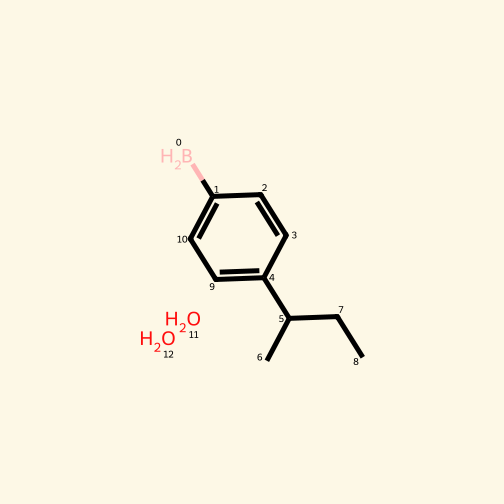 Bc1ccc(C(C)CC)cc1.O.O